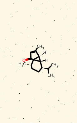 CC1=CC(=O)C23[C@@H]([C@@H](C(C)C)CC[C@@H]2C)[C@H]13